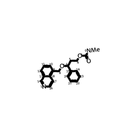 CNC(=O)OCCC(OCc1cccc2cnccc12)c1ccccc1